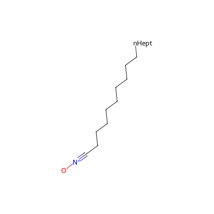 CCCCCCCCCCCCCCCCC#[N+][O-]